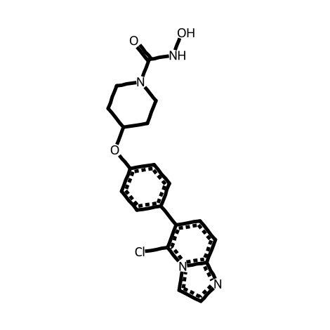 O=C(NO)N1CCC(Oc2ccc(-c3ccc4nccn4c3Cl)cc2)CC1